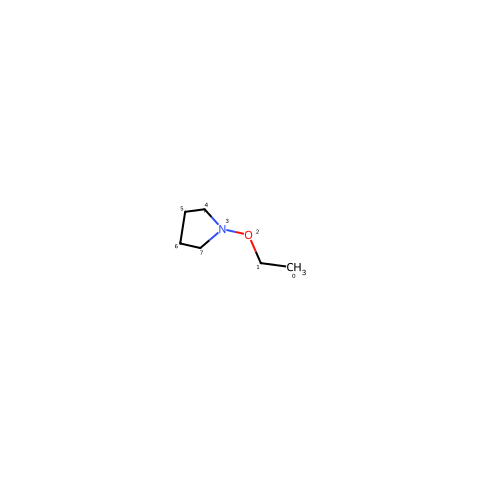 CCON1[CH]CCC1